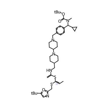 C=C(NCC1CCN(C2CCN(Cc3ccc(C(C4CC4)N(C)C(=O)OC(C)(C)C)cc3)CC2)CC1)S/C(=C\C)SCc1ncc(C(C)(C)C)o1